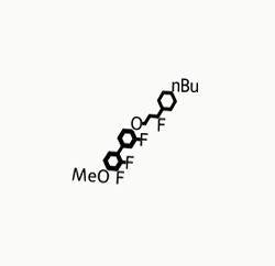 CCCCC1CCC(C(F)CCOc2ccc(-c3ccc(OC)c(F)c3F)cc2F)CC1